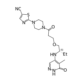 CC[C@@H](COCCC(=O)N1CCN(c2ncc(C#N)s2)CC1)Nc1cn[nH]c(=O)c1C